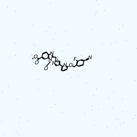 COCCn1c(Cn2cc(-c3cccc(OCc4ccc(C#N)cc4F)n3)cn2)nc2ccc(C(=O)OC)cc21